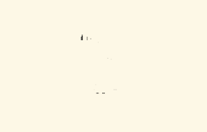 CC(C)CC(C)CC(=O)O